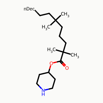 CCCCCCCCCCCCC(C)(C)CCCC(C)(C)C(=O)OC1CCNCC1